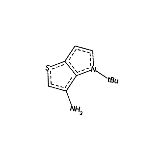 CC(C)(C)n1ccc2scc(N)c21